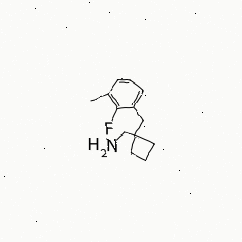 Cc1cccc(CC2(CN)CCC2)c1F